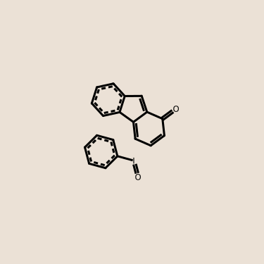 O=C1C=CC=C2C1=Cc1ccccc12.O=Ic1ccccc1